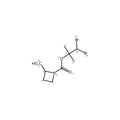 CC(C)(OC(=O)N1CCC1C(=O)O)C(Br)Br